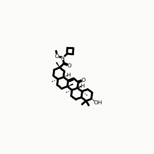 CON(C(=O)[C@@]1(C)CC[C@]2(C)CC[C@]3(C)C(=CC(=O)[C@@H]4[C@@]5(C)CC[C@H](O)C(C)(C)C5CC[C@]43C)[C@@H]2C1)C1CCC1